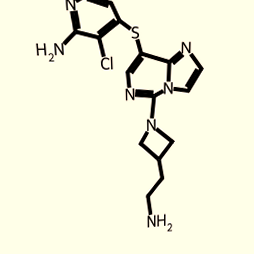 NCCC1CN(c2ncc(Sc3ccnc(N)c3Cl)c3nccn23)C1